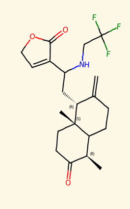 C=C1CCC2[C@@H](C)C(=O)CC[C@]2(C)[C@@H]1CC(NCC(F)(F)F)C1=CCOC1=O